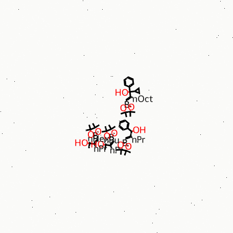 CCCC(=CB1OC(C)(C)C(C)(C)O1)C(O)c1ccccc1.CCCCC(C)(O)C(=CB1OC(C)(C)C(C)(C)O1)CCC.CCCCCCC(C)(O)C(=CB1OC(C)(C)C(C)(C)O1)CCC.CCCCCCCCC(=CB1OC(C)(C)C(C)(C)O1)C(O)(c1ccccc1)C1CC1